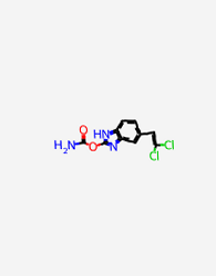 NC(=O)Oc1nc2cc(C=C(Cl)Cl)ccc2[nH]1